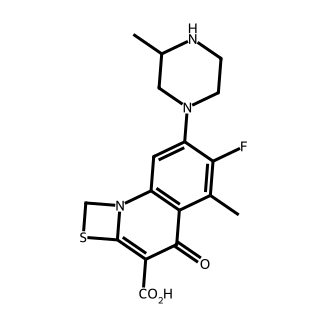 Cc1c(F)c(N2CCNC(C)C2)cc2c1c(=O)c(C(=O)O)c1n2CS1